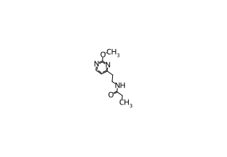 CCC(=O)NCCc1ccnc(OC)n1